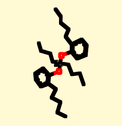 CCCCCc1ccccc1[O][Sn]([CH2]CCC)([CH2]CCC)[O]c1ccccc1CCCCC